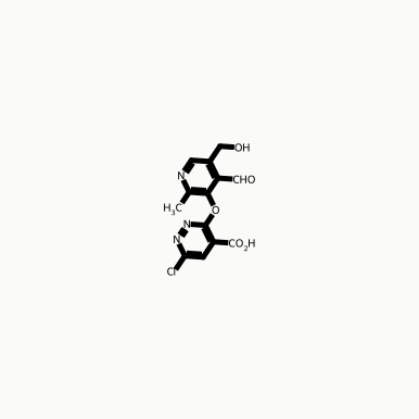 Cc1ncc(CO)c(C=O)c1Oc1nnc(Cl)cc1C(=O)O